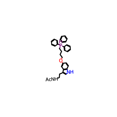 CC(=O)NCCc1c[nH]c2ccc(OCCCC[PH](c3ccccc3)(c3ccccc3)c3ccccc3)cc12